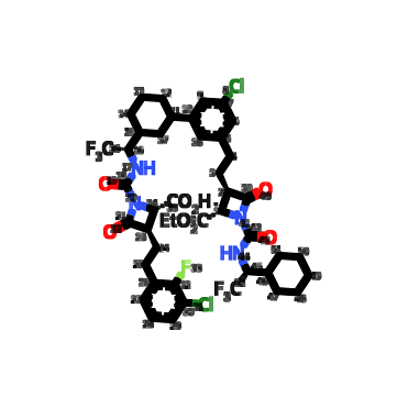 CCOC(=O)[C@@H]1[C@@H](CCc2cc(Cl)cc(C3CCCC([C@H](NC(=O)N4C(=O)[C@H](CCc5cccc(Cl)c5F)[C@H]4C(=O)O)C(F)(F)F)C3)c2)C(=O)N1C(=O)N[C@@H](C1CCCCC1)C(F)(F)F